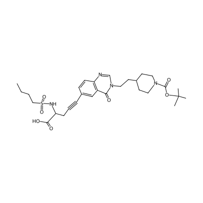 CCCCS(=O)(=O)NC(CC#Cc1ccc2ncn(CCC3CCN(C(=O)OC(C)(C)C)CC3)c(=O)c2c1)C(=O)O